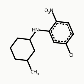 CC1CCCC(Nc2cc(Cl)ccc2[N+](=O)[O-])C1